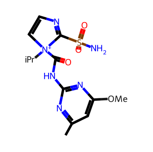 COc1cc(C)nc(NC(=O)[N+]2(C(C)C)C=CN=C2S(N)(=O)=O)n1